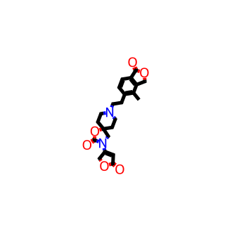 Cc1c(CCN2CCC3(CC2)CN(C2=CC(=O)OC2)C(=O)O3)ccc2c1COC2=O